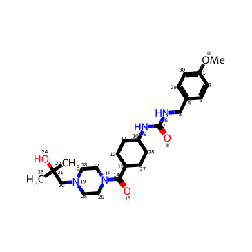 COc1ccc(CNC(=O)NC2CCC(C(=O)N3CCN(CC(C)(C)O)CC3)CC2)cc1